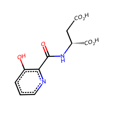 O=C(O)C[C@@H](NC(=O)c1ncccc1O)C(=O)O